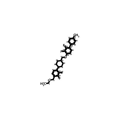 CCOCc1ccc(C2CCC(COc3ccc(-c4ccc(C)cc4)c(F)c3F)CC2)c(F)c1F